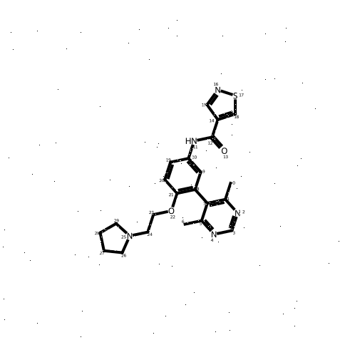 Cc1ncnc(C)c1-c1cc(NC(=O)c2cnsc2)ccc1OCCN1CCCC1